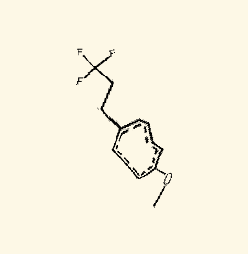 COc1ccc([CH]CC(F)(F)F)cc1